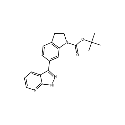 CC(C)(C)OC(=O)N1CCc2ccc(-c3n[nH]c4ncccc34)cc21